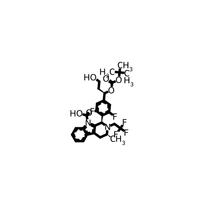 C[C@@H]1Cc2c(n(C(=O)O)c3ccccc23)[C@@H](c2c(F)cc([C@@H](CCO)OC(=O)OC(C)(C)C)cc2F)N1CC(F)(F)F